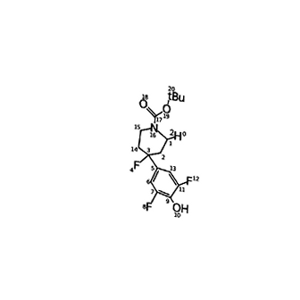 [2H]C1CC(F)(c2cc(F)c(O)c(F)c2)CCN1C(=O)OC(C)(C)C